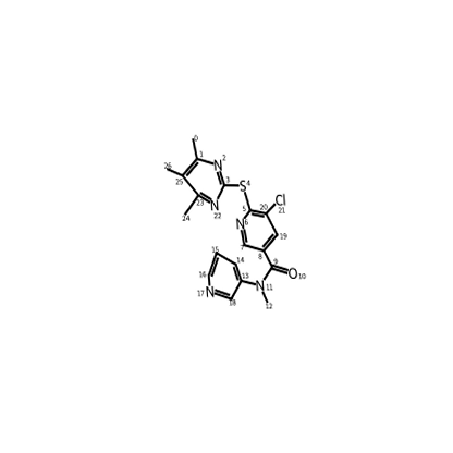 Cc1nc(Sc2ncc(C(=O)N(C)c3cccnc3)cc2Cl)nc(C)c1C